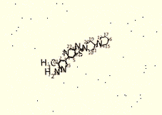 Cc1cc(-c2cc3sc(N4CCC(N5CCCCC5)CC4)nc3cn2)cnc1N